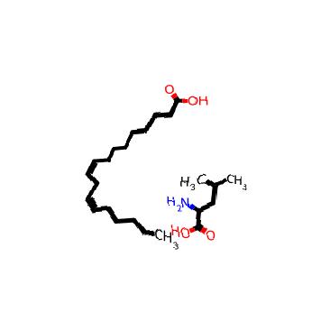 CC(C)CC(N)C(=O)O.CCCCC/C=C\C/C=C\CCCCCCCC(=O)O